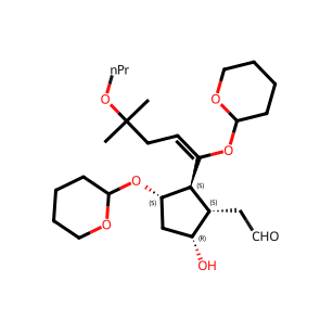 CCCOC(C)(C)CC=C(OC1CCCCO1)[C@H]1[C@H](CC=O)[C@H](O)C[C@@H]1OC1CCCCO1